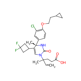 C=CC(C)(CCC(=O)O)N1C=C(C2CC(F)(F)C2)[C@](C)(c2ccc(OCCC3CC3)c(Cl)c2)NC1=O